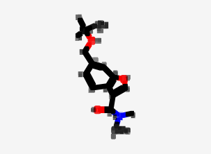 CON(C)C(=O)c1coc2cc(CO[Si](C)(C)C(C)(C)C)ccc12